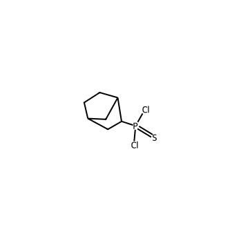 S=P(Cl)(Cl)C1CC2CCC1C2